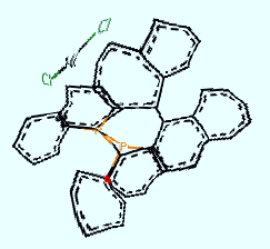 [Cl][Ni][Cl].c1ccc(P(c2ccccc2)c2ccc3ccccc3c2-c2c(P(c3ccccc3)c3ccccc3)ccc3ccccc23)cc1